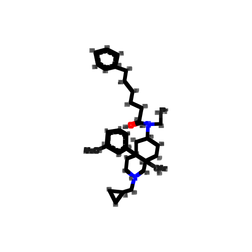 COc1cccc(C23CCN(CC4CC4)CC2(OC(C)=O)CCC(N(CC(C)C)C(=O)CCCCCc2ccccc2)C3)c1